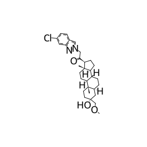 COC[C@@]1(O)CC[C@@]2(C)[C@@H](CC[C@@H]3[C@@H]2CC[C@]2(C)[C@@H](C(=O)Cn4cc5ccc(Cl)cc5n4)CC[C@@H]32)C1